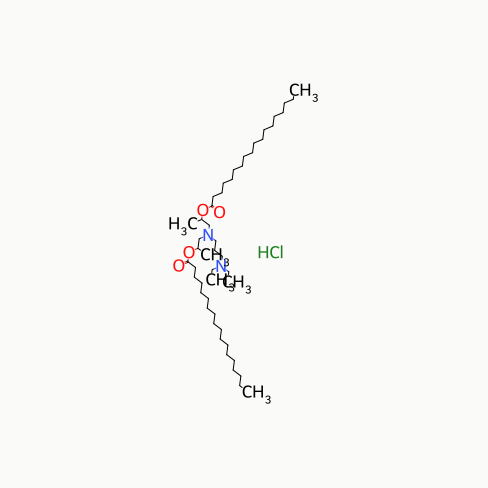 CCCCCCCCCCCCCCCCCC(=O)OC(C)CN(CCCN(CC)CC)CC(C)OC(=O)CCCCCCCCCCCCCCCCC.Cl